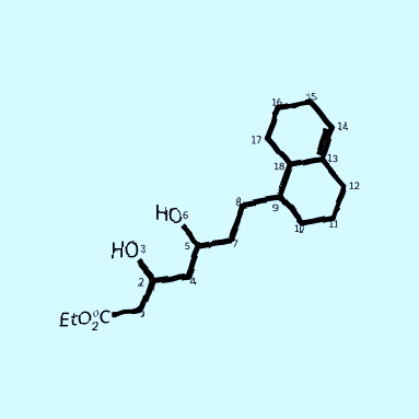 CCOC(=O)CC(O)CC(O)CCC1CCCC2=CCCCC21